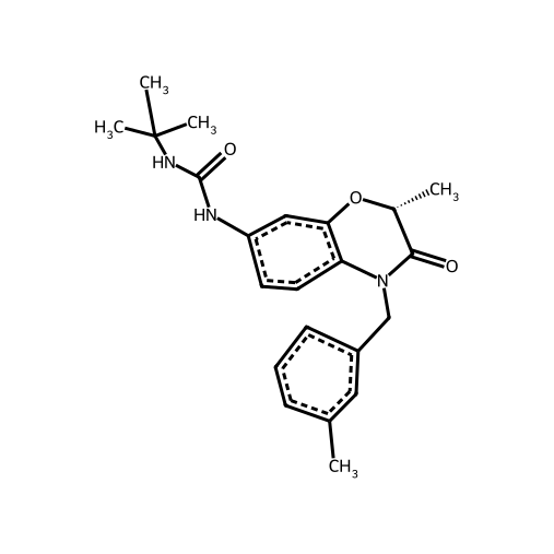 Cc1cccc(CN2C(=O)[C@@H](C)Oc3cc(NC(=O)NC(C)(C)C)ccc32)c1